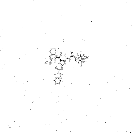 CCC[C@H](NC(=O)[C@@H]1C[C@@H](OC(=O)N2Cc3ccccc3C2)CN1C(=O)[C@@H](NC(=O)NC(C)(C)C)C1CCCCC1)B1O[C@@H]2C[C@@H]3C[C@@H](C3(C)C)[C@]2(C)O1